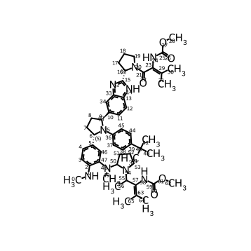 CNc1ccc([C@@H]2CC[C@@H](c3ccc4[nH]c([C@@H]5CCCN5C(=O)C(NC(=O)OC)=C(C)C)nc4c3)N2c2ccc(C(C)(C)C)cc2)cc1N(C)C1CCCN1C(C)C(NC(=O)OC)=C(C)C